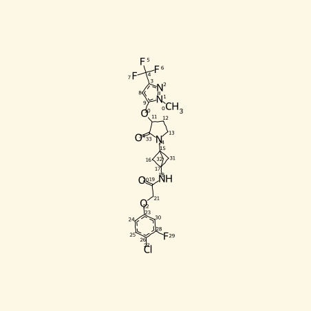 Cn1nc(C(F)(F)F)cc1OC1CCN(C23CC(NC(=O)COc4ccc(Cl)c(F)c4)(C2)C3)C1=O